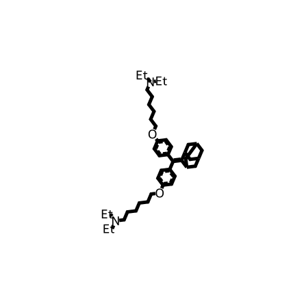 CCN(CC)CCCCCCOc1ccc(C(=C2C3CC4CC(C3)CC2C4)c2ccc(OCCCCCCN(CC)CC)cc2)cc1